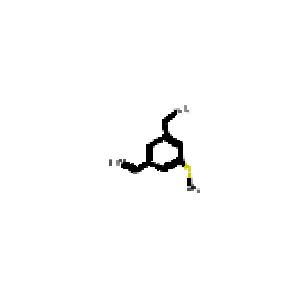 C=Cc1cc(CC)cc(SC)c1